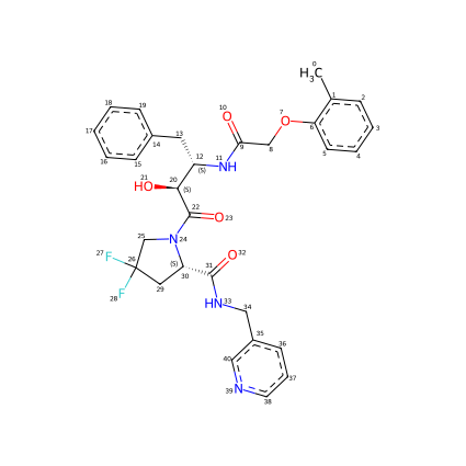 Cc1ccccc1OCC(=O)N[C@@H](Cc1ccccc1)[C@H](O)C(=O)N1CC(F)(F)C[C@H]1C(=O)NCc1cccnc1